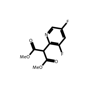 COC(=O)C(C(=O)OC)c1ncc(F)cc1F